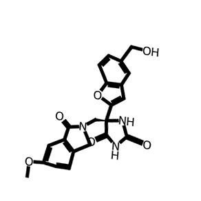 COc1ccc2c(c1)C(=O)N(C[C@@]1(c3cc4cc(CO)ccc4o3)NC(=O)NC1=O)C2